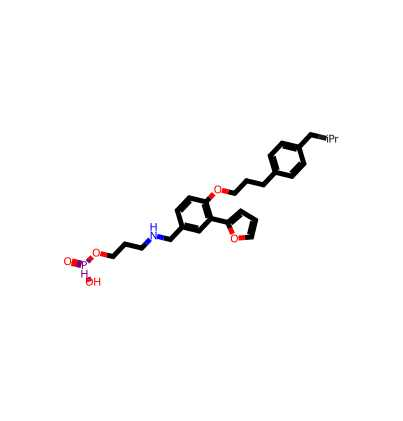 CC(C)Cc1ccc(CCCOc2ccc(CNCCCO[PH](=O)O)cc2-c2ccco2)cc1